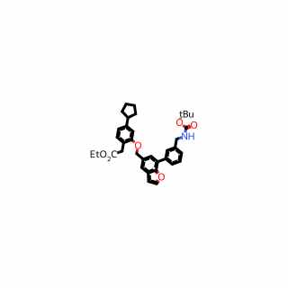 CCOC(=O)Cc1ccc(C2CCCC2)cc1OCc1cc(-c2cccc(CNC(=O)OC(C)(C)C)c2)c2occc2c1